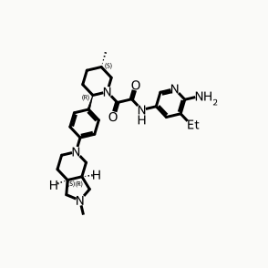 CCc1cc(NC(=O)C(=O)N2C[C@@H](C)CC[C@@H]2c2ccc(N3CC[C@@H]4CN(C)C[C@@H]4C3)cc2)cnc1N